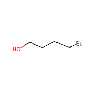 CC[CH]CCCO